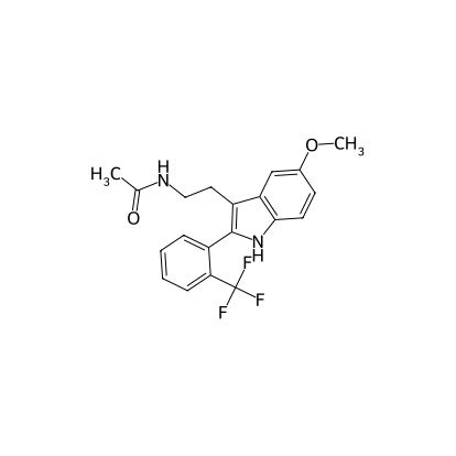 COc1ccc2[nH]c(-c3ccccc3C(F)(F)F)c(CCNC(C)=O)c2c1